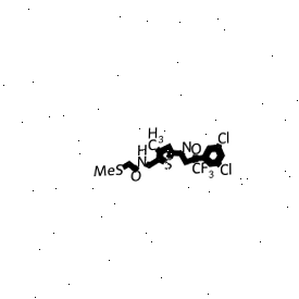 CSCC(=O)NCc1sc(C2=NOC(c3cc(Cl)cc(Cl)c3)(C(F)(F)F)C2)cc1C